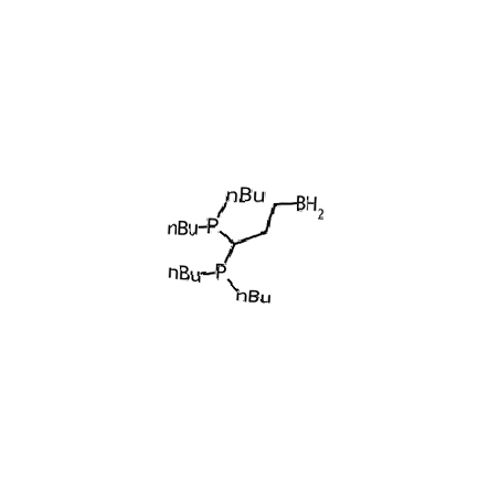 BCCC(P(CCCC)CCCC)P(CCCC)CCCC